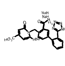 CCCCc1cc(C(=O)O)cc(=O)n1Cc1ccc(-c2ccccc2-c2nnn[nH]2)cc1C(N)=O.[NaH].[NaH]